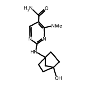 CNc1nc(NC23CCC(O)(CC2)C3)ncc1C(N)=O